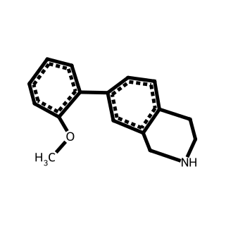 COc1ccccc1-c1ccc2c(c1)CNCC2